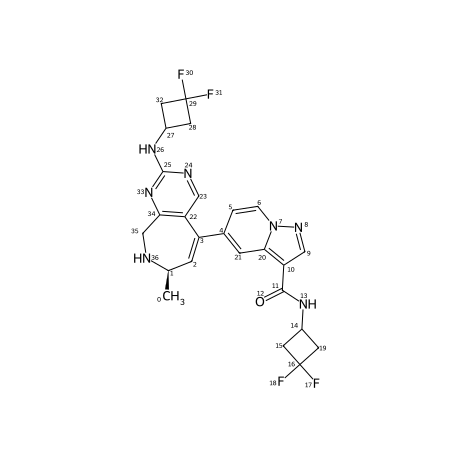 C[C@@H]1C=C(c2ccn3ncc(C(=O)NC4CC(F)(F)C4)c3c2)c2cnc(NC3CC(F)(F)C3)nc2CN1